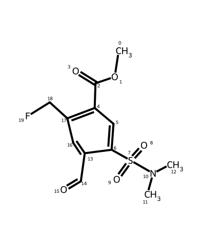 COC(=O)c1cc(S(=O)(=O)N(C)C)c(C=O)cc1CF